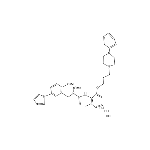 CCCCCN(Cc1cc(-n2ccnc2)ccc1OC)C(=O)Nc1c(C)cccc1OCCCN1CCN(c2ccccc2)CC1.Cl.Cl.Cl